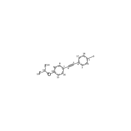 Cc1ccc(C#Cc2ccc(OC(F)F)cc2)cc1